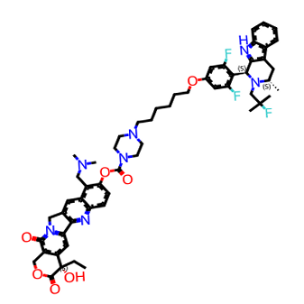 CC[C@@]1(O)C(=O)OCc2c1cc1n(c2=O)Cc2cc3c(CN(C)C)c(OC(=O)N4CCN(CCCCCCOc5cc(F)c([C@H]6c7[nH]c8ccccc8c7C[C@H](C)N6CC(C)(C)F)c(F)c5)CC4)ccc3nc2-1